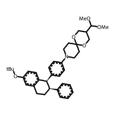 COC(OC)C1COC2(CCN(c3ccc([C@@H]4c5ccc(OC(C)(C)C)cc5CC[C@@H]4c4ccccc4)cc3)CC2)OC1